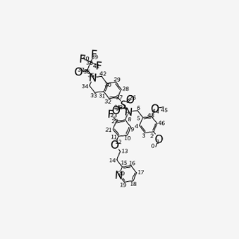 COc1ccc(CN(c2ccc(OCCc3ccccn3)cc2F)S(=O)(=O)c2ccc3c(c2)CCN(C(=O)C(F)(F)F)C3)c(OC)c1